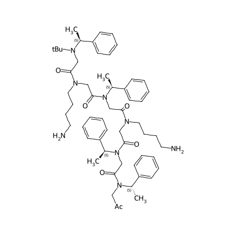 CC(=O)CN(C(=O)CN(C(=O)CN(CCCCN)C(=O)CN(C(=O)CN(CCCCN)C(=O)CN([C@@H](C)c1ccccc1)C(C)(C)C)[C@@H](C)c1ccccc1)[C@@H](C)c1ccccc1)[C@@H](C)c1ccccc1